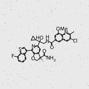 COc1cc(C(=O)NCC(O)(c2cc3c(c(-c4csc5c(F)cccc45)n2)OC[C@]3(C)C(N)=O)C2CC2)cc2cc(Cl)c(C)nc12